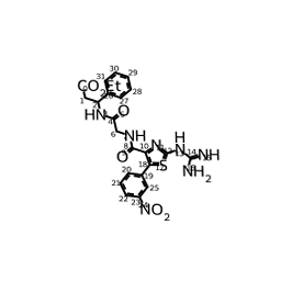 CCOC(=O)CC(NC(=O)CNC(=O)c1nc(NC(=N)N)sc1-c1cccc([N+](=O)[O-])c1)c1ccccc1